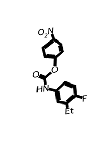 CCc1cc(NC(=O)Oc2ccc([N+](=O)[O-])cc2)ccc1F